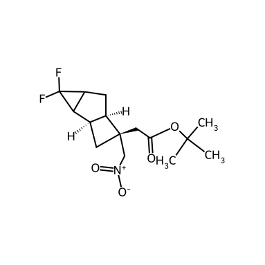 CC(C)(C)OC(=O)C[C@@]1(C[N+](=O)[O-])C[C@H]2C3C(C[C@H]21)C3(F)F